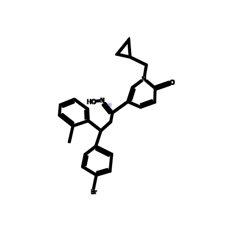 Cc1ccccc1C(C/C(=N\O)c1ccc(=O)n(CC2CC2)c1)c1ccc(Br)cc1